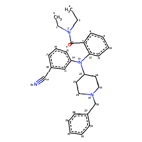 CCN(CC)C(=O)c1ccccc1N(c1cccc(C#N)c1)C1CCN(Cc2ccccc2)CC1